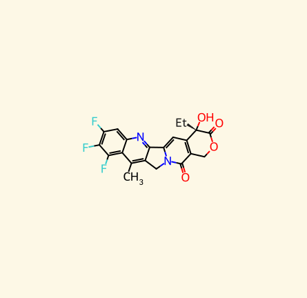 CC[C@@]1(O)C(=O)OCc2c1cc1n(c2=O)Cc2c-1nc1cc(F)c(F)c(F)c1c2C